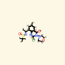 CC(=N[S+]([O-])C(C)(C)C)c1cc(C)cc2c(=O)n(N3CCOCC3)c(Cl)nc12